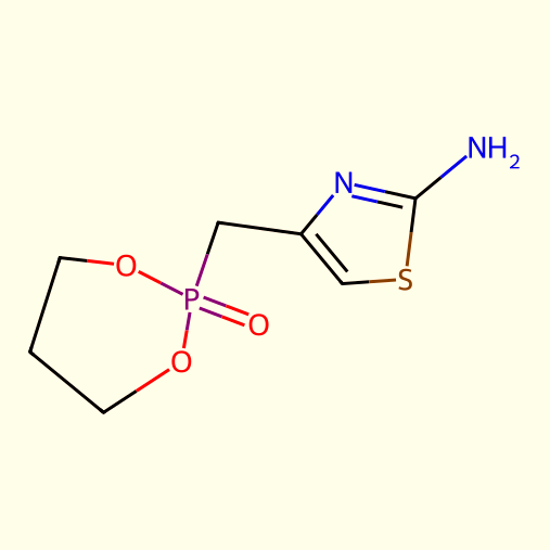 Nc1nc(CP2(=O)OCCCO2)cs1